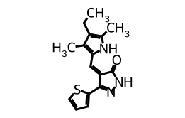 CCc1c(C)[nH]c(C=C2C(=O)NN=C2c2cccs2)c1C